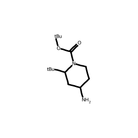 CC(C)(C)OC(=O)N1CCC(N)CC1C(C)(C)C